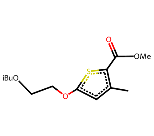 COC(=O)c1sc(OCCOCC(C)C)cc1C